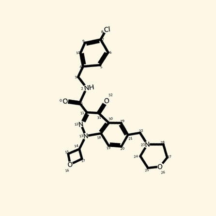 O=C(NCc1ccc(Cl)cc1)c1nn(C2COC2)c2ccc(CN3CCOCC3)cc2c1=O